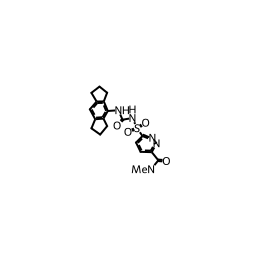 CNC(=O)c1ccc(S(=O)(=O)NC(=O)Nc2c3c(cc4c2CCC4)CCC3)nn1